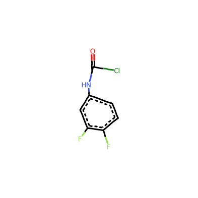 O=C(Cl)Nc1ccc(F)c(F)c1